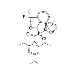 CC(C)c1cc(C(C)C)c(C(=O)P(=O)(C(=O)c2c(C(F)(F)F)cccc2C(F)(F)F)c2ccccc2)c(C(C)C)c1